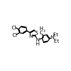 CCN(CC)c1ccc(Nc2nc(-c3ccc(Cl)c(Cl)c3)cs2)c(C)c1